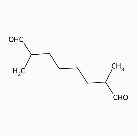 [CH2]C(C=O)CCCCC(C)C=O